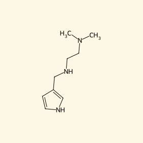 CN(C)CCNCc1cc[nH]c1